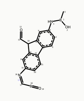 CB(O)Nc1ccc2c(c1)C(C=O)c1cc(/N=C\B=O)ccc1-2